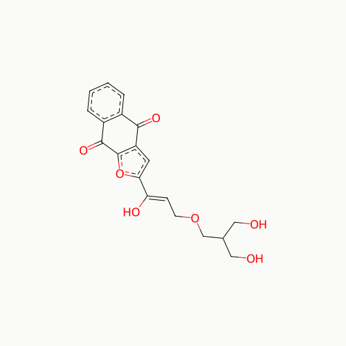 O=C1c2ccccc2C(=O)c2oc(/C(O)=C/COCC(CO)CO)cc21